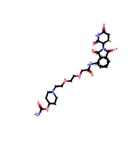 NC(=O)OC1CCN(CCOCCOCC(=O)Nc2cccc3c2C(=O)N(C2CCC(=O)NC2=O)C3=O)CC1